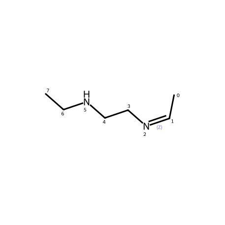 C/C=N\CCNCC